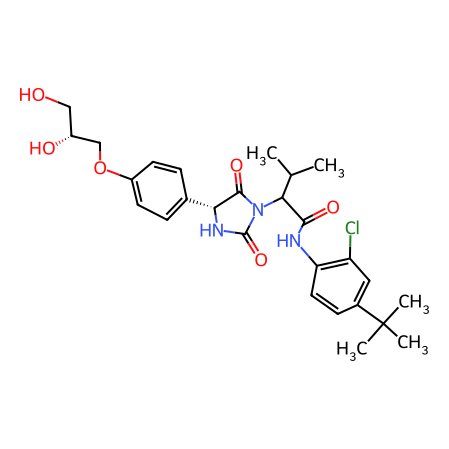 CC(C)C(C(=O)Nc1ccc(C(C)(C)C)cc1Cl)N1C(=O)N[C@H](c2ccc(OC[C@H](O)CO)cc2)C1=O